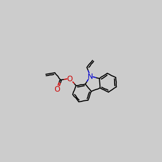 C=CC(=O)Oc1cccc2c3ccccc3n(C=C)c12